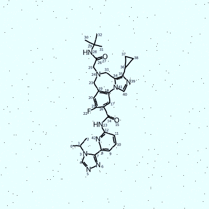 CC(C)n1cnnc1-c1cccc(NC(=O)c2cc3c(cc2F)CN(CC(=O)NC(C)(C)C)Cc2c(C4CC4)ncn2-3)n1